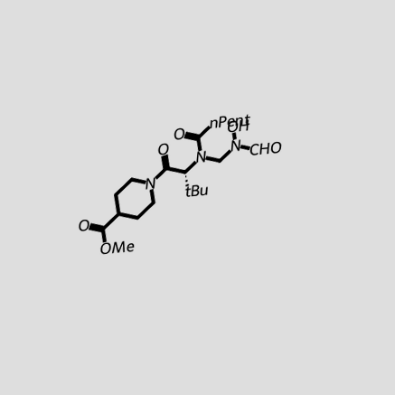 CCCCCC(=O)N(CN(O)C=O)[C@@H](C(=O)N1CCC(C(=O)OC)CC1)C(C)(C)C